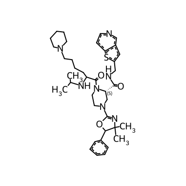 CC(C)NC(CCCCN1CCCCC1)C(=O)N1CCN(C2=NC(C)(C)C(c3ccccc3)O2)C[C@H]1C(=O)NCc1cc2cnccc2s1